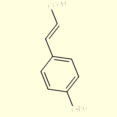 CC(C)COc1ccc(/C=C/C(=O)O)cc1